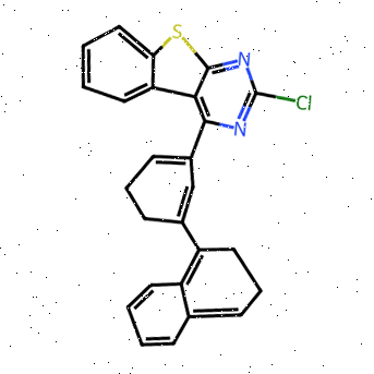 Clc1nc(C2=CCCC(C3=c4ccccc4=CCC3)=C2)c2c(n1)sc1ccccc12